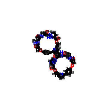 CC(C)[C@@H]1NC(=O)[C@H](C)Oc2ccc(cc2)-c2cccc(n2)[C@@H](C)OC(=O)[C@@H]2CCCN(N2)C(=O)[C@H](Cc2cc3nc(c2)[C@@H](C)OC(=O)[C@@H]2CCCN(N2)C(=O)[C@H](C)NC(=O)[C@H](C(C)C)NC(=O)[C@@H](C)Oc2ccc-3cc2)NC1=O